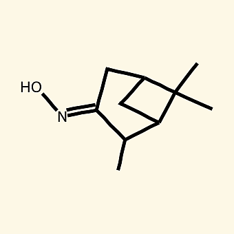 CC1C(=NO)CC2CC1C2(C)C